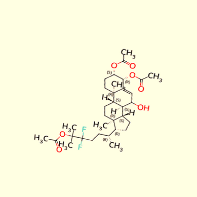 CC(=O)O[C@H]1CC[C@@]2(C)C(=CC(O)[C@H]3[C@@H]4CC[C@H]([C@H](C)CCC(F)(F)C(C)(C)OC(C)=O)[C@@]4(C)CC[C@@H]32)[C@H]1OC(C)=O